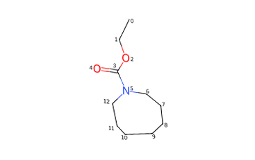 CCOC(=O)N1CCCCCCC1